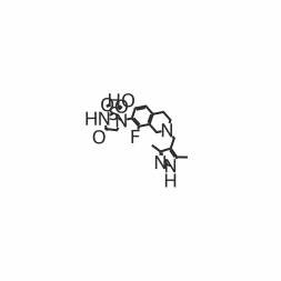 Cc1n[nH]c(C)c1CN1CCc2cc(O)c(N3CC(=O)NS3(=O)=O)c(F)c2C1